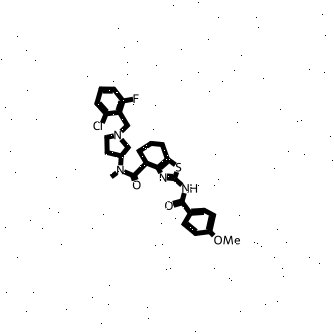 COc1ccc(C(=O)Nc2nc3c(s2)CCCC3C(=O)N(C)C2CCN(Cc3c(F)cccc3Cl)C2)cc1